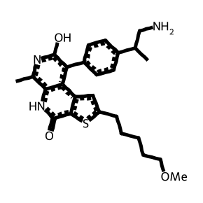 COCCCCCc1cc2c(s1)c(=O)[nH]c1c(C)nc(O)c(-c3ccc(C(C)CN)cc3)c12